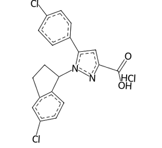 Cl.O=C(O)c1cc(-c2ccc(Cl)cc2)n(C2CCc3cc(Cl)ccc32)n1